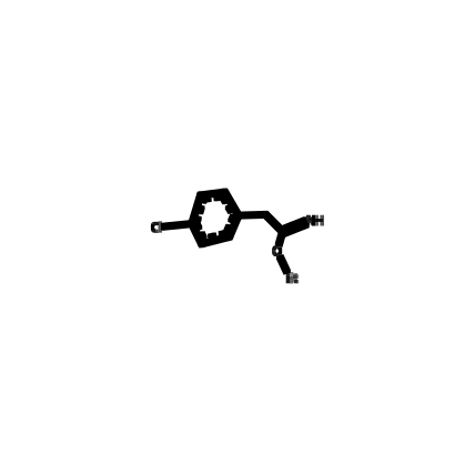 CCOC(=N)Cc1ccc(Cl)cc1